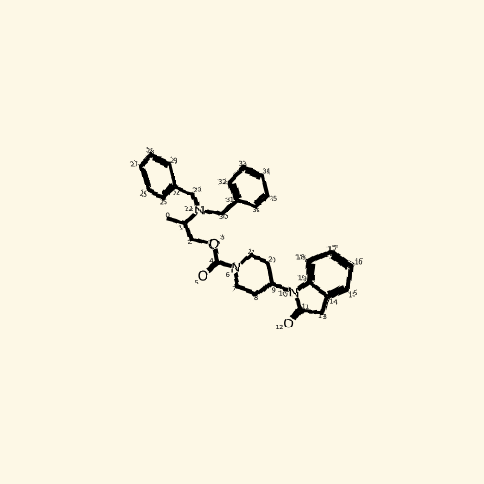 CC(COC(=O)N1CCC(N2C(=O)Cc3ccccc32)CC1)N(Cc1ccccc1)Cc1ccccc1